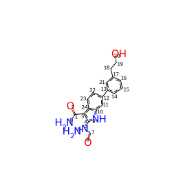 NC(=O)c1c(N(N)C=O)[nH]c2cc(-c3cccc(CCO)c3)ccc12